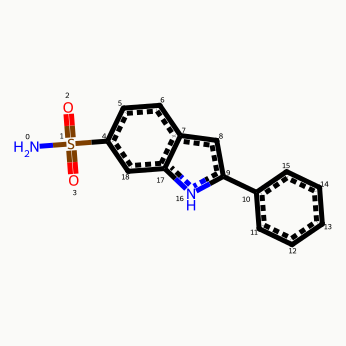 NS(=O)(=O)c1ccc2cc(-c3ccccc3)[nH]c2c1